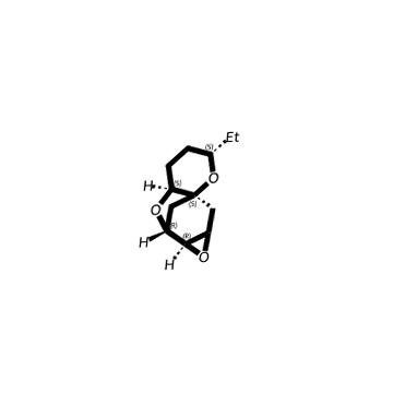 CC[C@H]1CC[C@@H]2O[C@@H]3C[C@]2(CC2O[C@H]23)O1